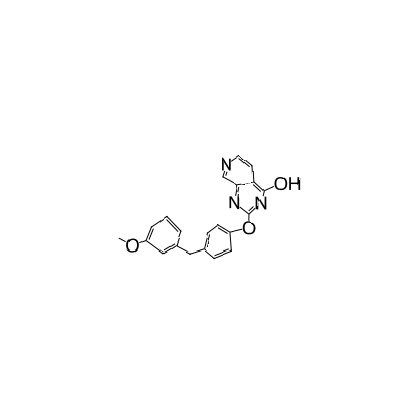 COc1cccc(Cc2ccc(Oc3nc(O)c4ccncc4n3)cc2)c1